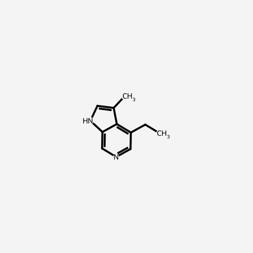 CCc1cncc2[nH]cc(C)c12